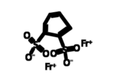 O=S(=O)([O-])c1ccccc1S(=O)(=O)[O-].[Fr+].[Fr+]